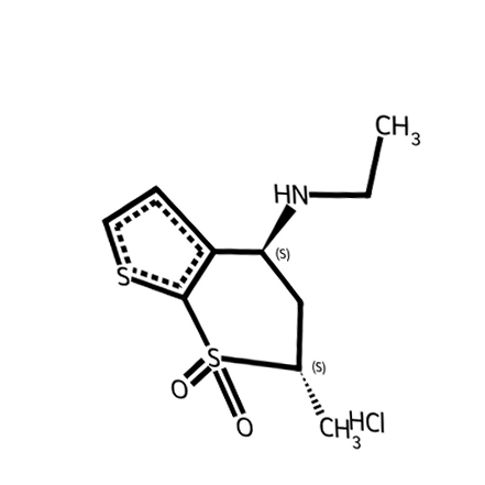 CCN[C@H]1C[C@H](C)S(=O)(=O)c2sccc21.Cl